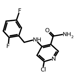 NC(=O)c1cnc(Cl)cc1NCc1cc(F)ccc1F